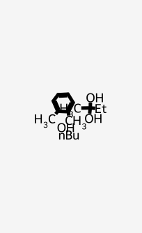 CCC(C)(O)O.CCCCO.Cc1ccccc1C